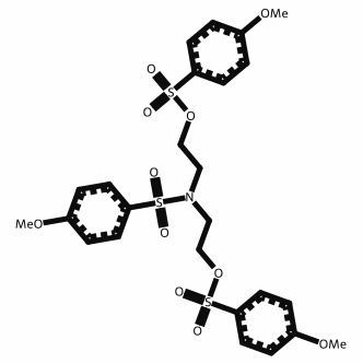 COc1ccc(S(=O)(=O)OCCN(CCOS(=O)(=O)c2ccc(OC)cc2)S(=O)(=O)c2ccc(OC)cc2)cc1